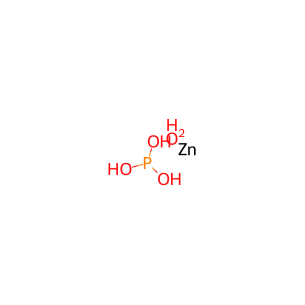 O.OP(O)O.[Zn]